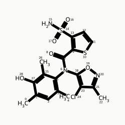 Cc1cc(C)c(N(C(=O)c2sccc2S(N)(=O)=O)c2onc(C)c2Cl)c(C)c1O